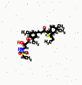 CCc1sc(C(=O)CCc2cc(C)c(OCC(O)CNS(=O)(=O)CC)c(C)c2)c2c1CC(C)(C)CC2